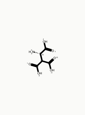 N[C@H](C(=O)O)C(C(=O)O)C(=O)O